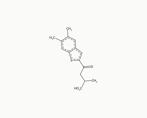 Cc1cc2cc(C(=O)CC(C)C(=O)O)sc2cc1C